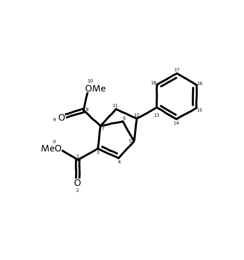 COC(=O)C1=CC2CC1(C(=O)OC)CC2c1ccccc1